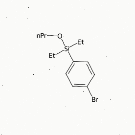 CCCO[Si](CC)(CC)c1ccc(Br)cc1